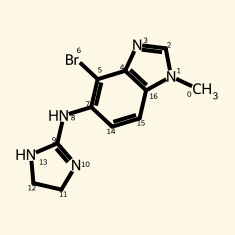 Cn1cnc2c(Br)c(NC3=NCCN3)ccc21